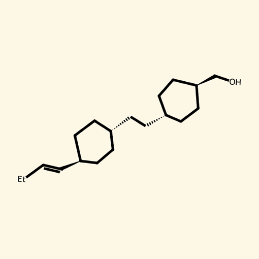 CCC=C[C@H]1CC[C@H](CC[C@H]2CC[C@H](CO)CC2)CC1